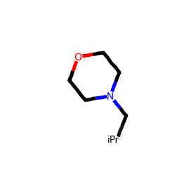 CC(C)CN1CCOCC1